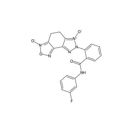 O=C(Nc1cccc(F)c1)c1ccccc1-n1nc2c([n+]1[O-])CCc1c-2no[n+]1[O-]